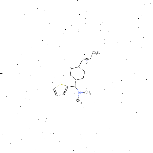 CCOC(=O)/C=C/C1CCC(C(c2cccs2)N(C)C)CC1